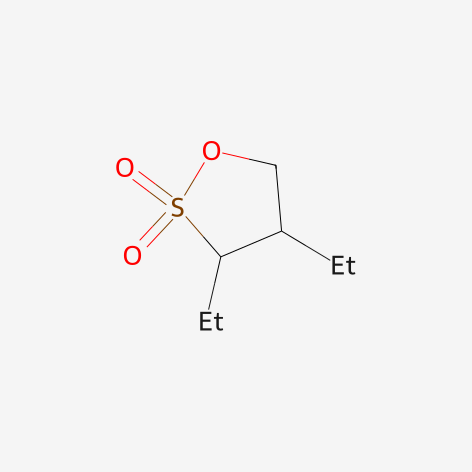 CCC1COS(=O)(=O)C1CC